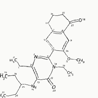 CCc1nc(-c2cc3c(cc2OC)C(=O)CCC3)n(CC)c(=O)c1NC(CC)CC